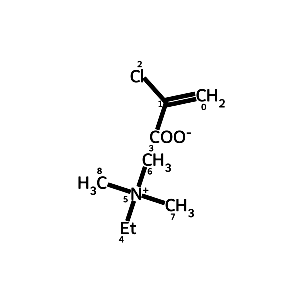 C=C(Cl)C(=O)[O-].CC[N+](C)(C)C